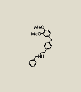 COc1ccc(Sc2ccc(CCNCc3ccccc3)cc2)cc1OC